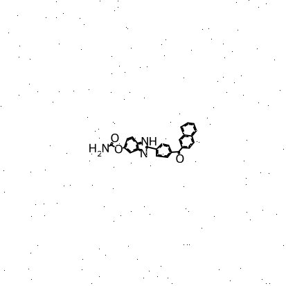 NC(=O)Oc1ccc2[nH]c(-c3ccc(C(=O)c4ccc5ccccc5c4)cc3)nc2c1